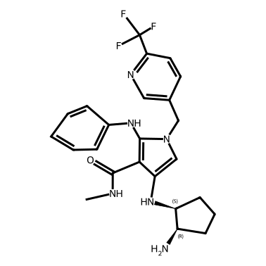 CNC(=O)c1c(N[C@H]2CCC[C@H]2N)cn(Cc2ccc(C(F)(F)F)nc2)c1Nc1ccccc1